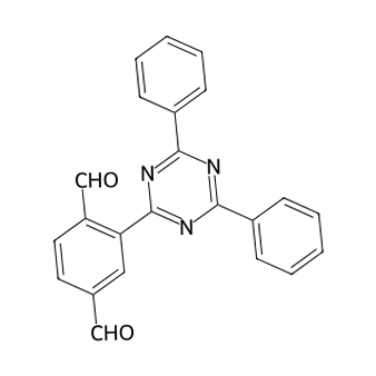 O=Cc1ccc(C=O)c(-c2nc(-c3ccccc3)nc(-c3ccccc3)n2)c1